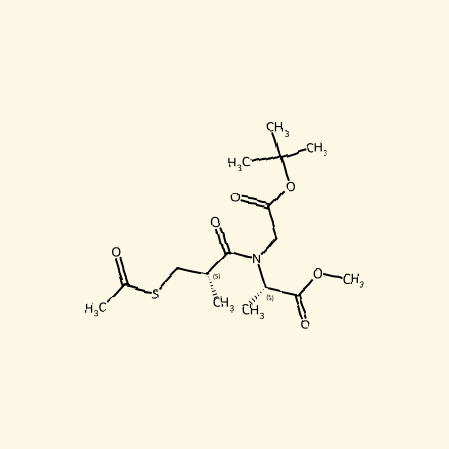 COC(=O)[C@H](C)N(CC(=O)OC(C)(C)C)C(=O)[C@H](C)CSC(C)=O